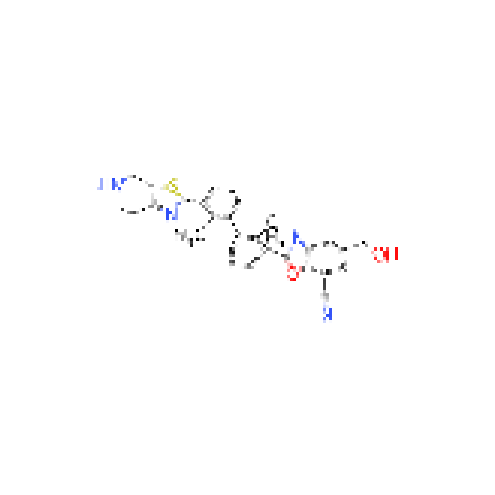 Cc1c(-c2nc3cc(CO)cc(C#N)c3o2)cccc1-c1cccc(-c2nc3c(s2)CNCC3)c1C